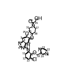 COc1cc2ncnc(Nc3cccc(Cl)c3OCc3cnccn3)c2cc1OC1CCN(C(=O)CO)CC1